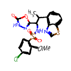 COc1cc(Cl)ccc1S(=O)(=O)NC(c1n[nH]c(=O)o1)C(C)c1cccc2scnc12